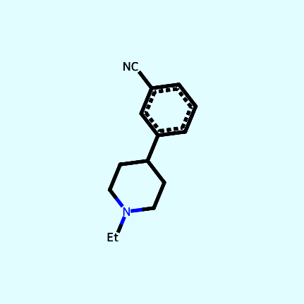 CCN1CCC(c2cccc(C#N)c2)CC1